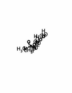 Cc1[nH]c(=O)ccc1-c1ccc(C(=O)NS(=O)(=O)c2ccc(N[C@H](CCCCN(C)C)CSc3ccccc3)c([N+](=O)[O-])c2)cc1